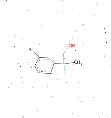 CC(F)(CO)c1cccc(Br)c1